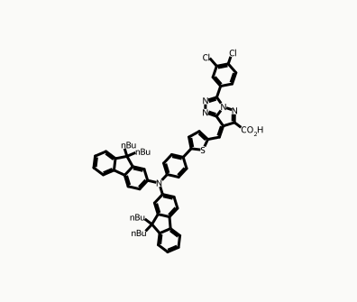 CCCCC1(CCCC)c2ccccc2-c2ccc(N(c3ccc(-c4ccc(/C=c5/c(C(=O)O)nn6c(-c7ccc(Cl)c(Cl)c7)nnc56)s4)cc3)c3ccc4c(c3)C(CCCC)(CCCC)c3ccccc3-4)cc21